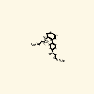 COCCNS(=O)(=O)c1[c]cccc1-c1ccc(N(C)CCOC)cc1